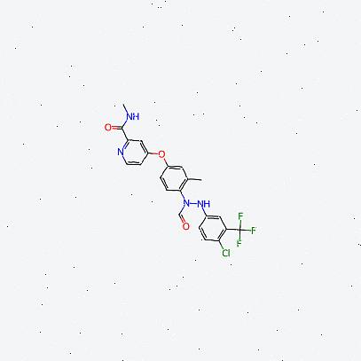 CNC(=O)c1cc(Oc2ccc(N(C=O)Nc3ccc(Cl)c(C(F)(F)F)c3)c(C)c2)ccn1